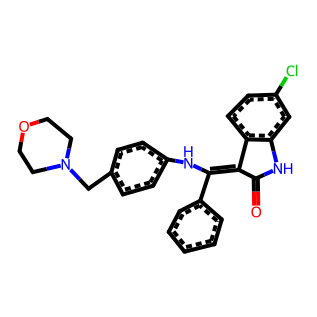 O=C1Nc2cc(Cl)ccc2C1=C(Nc1ccc(CN2CCOCC2)cc1)c1ccccc1